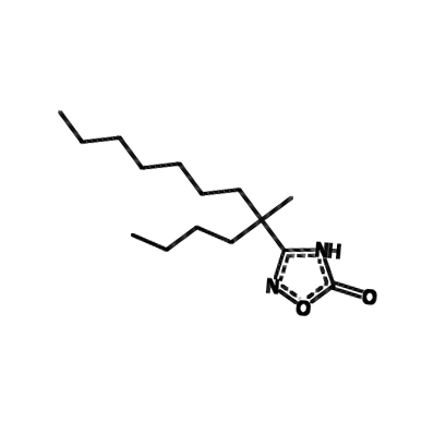 CCCCCCCC(C)(CCCC)c1noc(=O)[nH]1